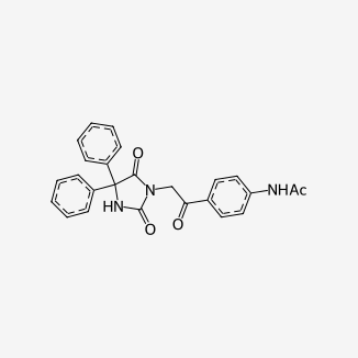 CC(=O)Nc1ccc(C(=O)CN2C(=O)NC(c3ccccc3)(c3ccccc3)C2=O)cc1